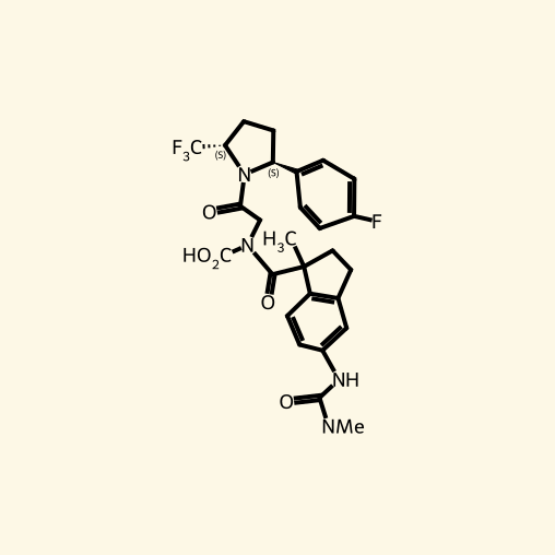 CNC(=O)Nc1ccc2c(c1)CCC2(C)C(=O)N(CC(=O)N1[C@H](C(F)(F)F)CC[C@H]1c1ccc(F)cc1)C(=O)O